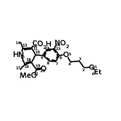 CCOCCCOc1ccc(C2C(C(=O)O)=C(C)NC(C)=C2C(=O)OC)cc1[N+](=O)[O-]